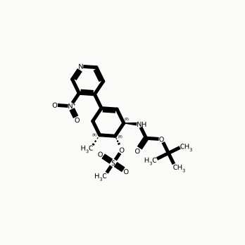 C[C@@H]1CC(c2ccncc2[N+](=O)[O-])=C[C@@H](NC(=O)OC(C)(C)C)[C@@H]1OS(C)(=O)=O